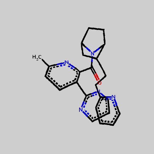 Cc1ccc(-c2ncccn2)c(C(=O)N2C3CCC2C(CCc2ccccn2)C3)n1